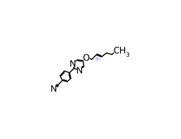 CCC/C=C/COc1cnc(-c2ccc(C#N)cc2)nc1